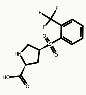 O=C(O)[C@@H]1C[C@H](S(=O)(=O)c2ccccc2C(F)(F)F)CN1